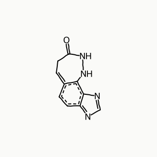 O=C1CC=c2ccc3c(c2NN1)N=CN=3